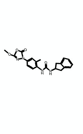 COc1nn(-c2ccc(NC(=O)NC3Cc4ccccc4C3)c(C)c2)c(=O)o1